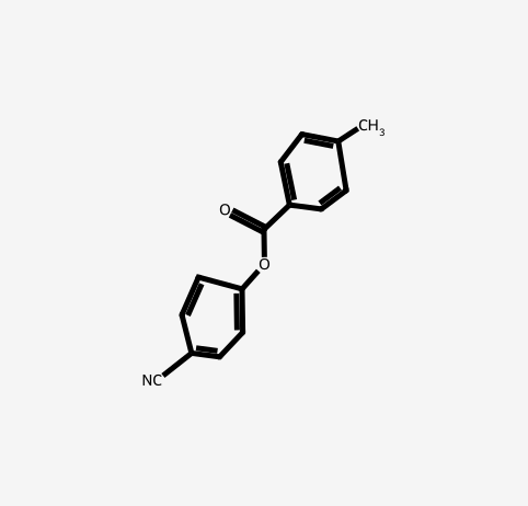 Cc1ccc(C(=O)Oc2ccc(C#N)cc2)cc1